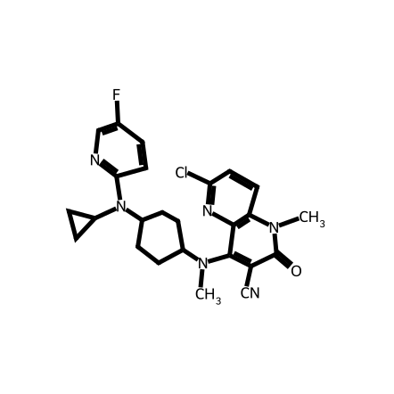 CN(c1c(C#N)c(=O)n(C)c2ccc(Cl)nc12)C1CCC(N(c2ccc(F)cn2)C2CC2)CC1